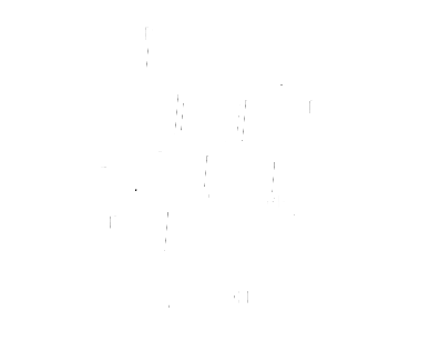 BCc1cc(CB)c(CB)c(OC(CS(=O)(=O)O)C(F)(F)F)c1